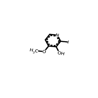 COc1ccnc(I)c1O